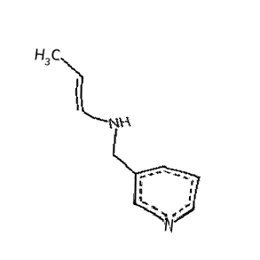 CC=CNCc1cccnc1